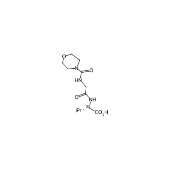 CC(C)[C@H](NC(=O)CNC(=O)N1CCOCC1)C(=O)O